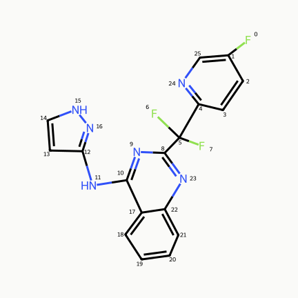 Fc1ccc(C(F)(F)c2nc(Nc3cc[nH]n3)c3ccccc3n2)nc1